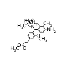 COC(=O)/C=C/c1ccc([C@@H]2c3ccc(N)c(C)c3C[C@@H](C)N2CC(C)(C)F)c(OC)c1